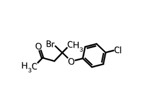 CC(=O)CC(C)(Br)Oc1ccc(Cl)cc1